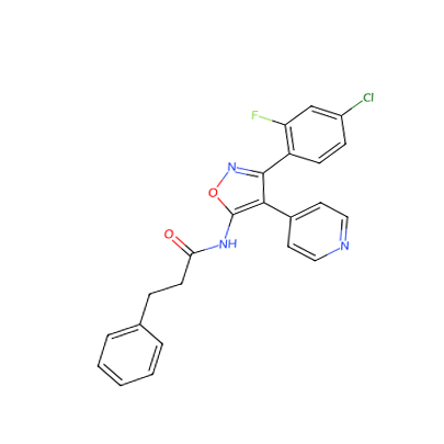 O=C(CCc1ccccc1)Nc1onc(-c2ccc(Cl)cc2F)c1-c1ccncc1